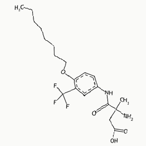 CCCCCCCCOc1ccc(NC(=O)C(C)(N)CC(=O)O)cc1C(F)(F)F